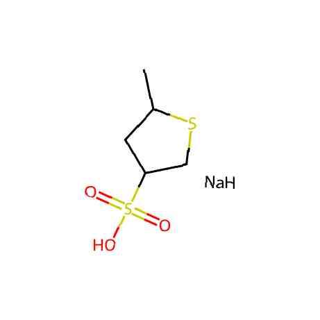 CC1CC(S(=O)(=O)O)CS1.[NaH]